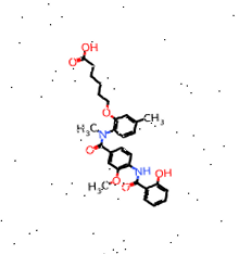 COc1cc(C(=O)N(C)c2ccc(C)cc2OCCCCCC(=O)O)ccc1NC(=O)c1ccccc1O